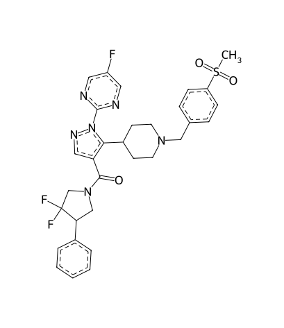 CS(=O)(=O)c1ccc(CN2CCC(c3c(C(=O)N4CC(c5ccccc5)C(F)(F)C4)cnn3-c3ncc(F)cn3)CC2)cc1